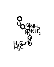 CC(C)/C=C/C(=O)N1CC[C@@H](n2nc(-c3ccc(Oc4ccccc4)cc3)c(C(N)=O)c2N)C1